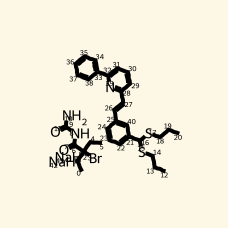 CCC(Br)(CC)C(=O)NC(N)=O.CCCSC(SCCC)c1cccc(/C=C/c2cccc(-c3ccccc3)n2)c1.[NaH].[NaH]